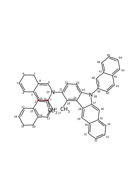 C=C/C=C1/C=CCC/C1=C/N(c1ccc2c(c1)C=CCC2)c1ccc2c(c1C)c1cc3ccccc3cc1n2-c1ccc2ccccc2c1